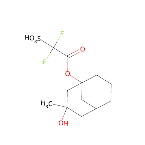 CC1(O)CC2CCCC(OC(=O)C(F)(F)S(=O)(=O)O)(C2)C1